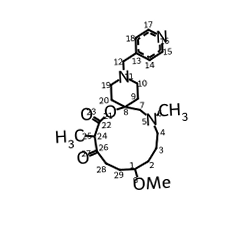 COC1CCCN(C)CC2(CCN(Cc3ccncc3)CC2)OC(=O)C(C)C(=O)CC1